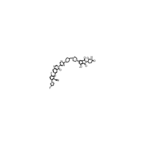 COc1cc(N2CCN(CC3CCN(c4ncc(-n5cnc6ccc(Oc7c(F)ccc(N8CC[C@@H](F)C8)c7C#N)cc6c5=O)cn4)CC3)CC2)cc2c1C(=O)N(C1CCC(=O)NC1=O)C2=O